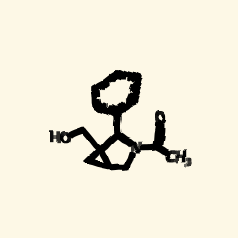 CC(=O)N1CC2CC2(CO)C1c1ccccc1